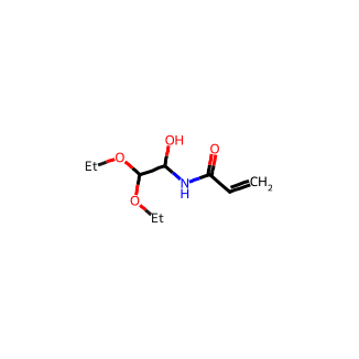 C=CC(=O)NC(O)C(OCC)OCC